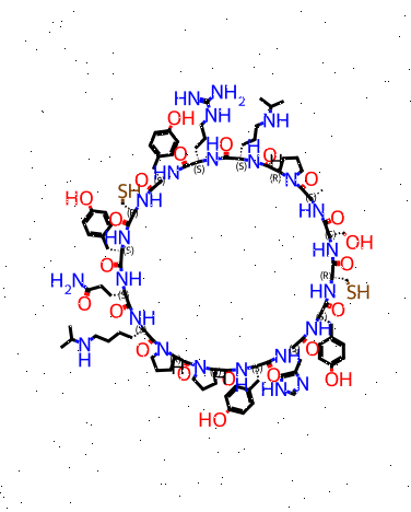 CC(C)NCCCC[C@@H]1NC(=O)[C@H](CCC(N)=O)NC(=O)[C@H](Cc2ccc(O)cc2)NC(=O)[C@H](CS)NC(=O)[C@H](Cc2ccc(O)cc2)NC(=O)[C@H](CCCNC(=N)N)NC(=O)[C@H](CCCNC(C)C)NC(=O)[C@H]2CCCN2C(=O)[C@H](C)NC(=O)[C@H](CO)NC(=O)[C@H](CS)NC(=O)[C@H](Cc2ccc(O)cc2)NC(=O)[C@H](Cc2c[nH]cn2)NC(=O)[C@H](Cc2ccc(O)cc2)NC(=O)[C@@H]2CCCN2C(=O)[C@H]2CCCN2C1=O